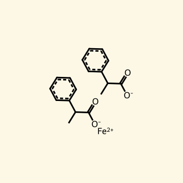 CC(C(=O)[O-])c1ccccc1.CC(C(=O)[O-])c1ccccc1.[Fe+2]